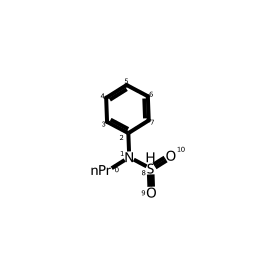 CCCN(c1ccccc1)[SH](=O)=O